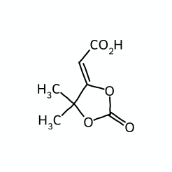 CC1(C)OC(=O)OC1=CC(=O)O